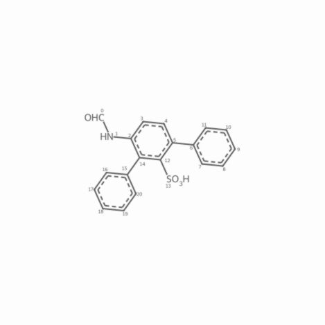 O=CNc1ccc(-c2ccccc2)c(S(=O)(=O)O)c1-c1ccccc1